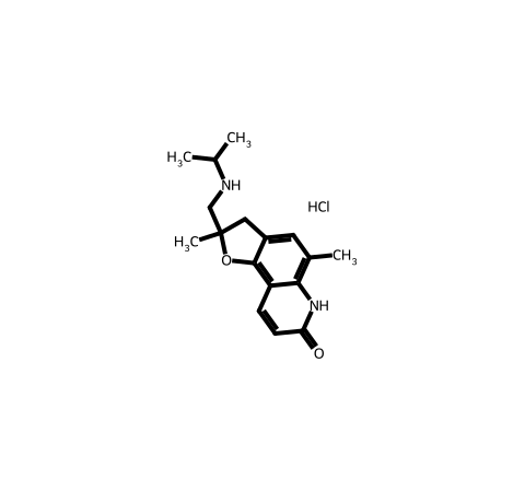 Cc1cc2c(c3ccc(=O)[nH]c13)OC(C)(CNC(C)C)C2.Cl